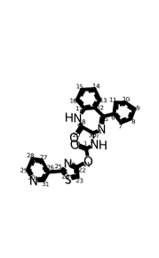 O=C(N[C@H]1N=C(c2ccccc2)c2ccccc2NC1=O)Oc1csc(-c2cccnc2)n1